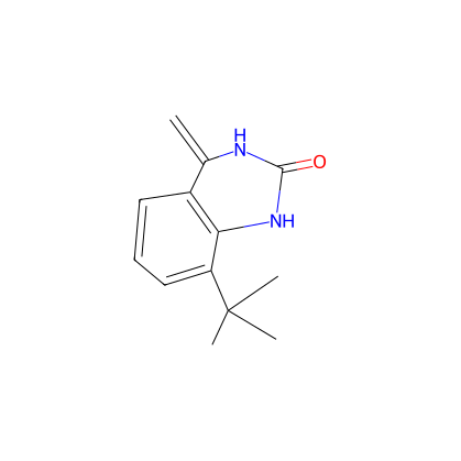 C=C1NC(=O)Nc2c1cccc2C(C)(C)C